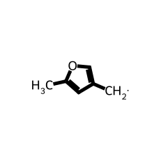 [CH2]c1coc(C)c1